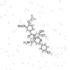 COc1cc(C(=O)NCC(O)(c2cc(C(C)(C)N)cc(-c3ccc(C(F)(F)F)cc3)n2)C(F)(F)F)ccc1OC1CC1